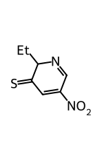 CCC1N=CC([N+](=O)[O-])=CC1=S